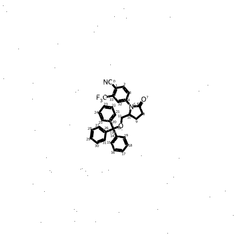 N#Cc1ccc(N2C(=O)CCC2COC(c2ccccc2)(c2ccccc2)c2ccccc2)cc1C(F)(F)F